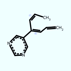 C=C/C=C(\C=C/C)c1cncnc1